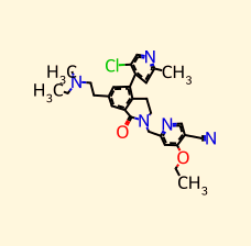 CCOc1cc(CN2CCc3c(cc(CCN(C)CC)cc3-c3cc(C)ncc3Cl)C2=O)ncc1C#N